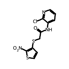 O=C(CSc1ccsc1[N+](=O)[O-])Nc1cccnc1Cl